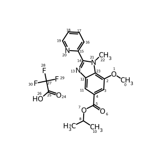 COc1cc(C(=O)OC(C)C)cc2nc(-c3ccccn3)n(C)c12.O=C(O)C(F)(F)F